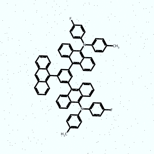 Cc1ccc(N(c2ccc(F)cc2)c2c3ccccc3c(-c3cc(-c4c5ccccc5cc5ccccc45)cc(-c4c5ccccc5c(N(c5ccc(C)cc5)c5ccc(F)cc5)c5ccccc45)c3)c3ccccc23)cc1